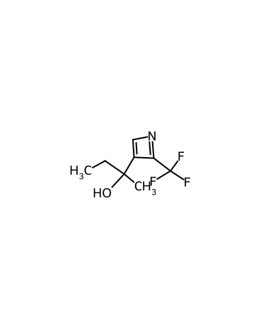 CCC(C)(O)C1=CN=C1C(F)(F)F